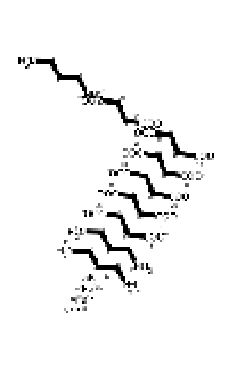 NCCCN.NCCCN.NCCCN.O=C([O-])CCC(=O)[O-].O=C([O-])CCC(=O)[O-].O=C([O-])CCC(=O)[O-].O=C([O-])CCC(=O)[O-].O=C([O-])CCC(=O)[O-].O=C([O-])CCC(=O)[O-].[Fe+3].[Fe+3].[Fe+3].[Fe+3]